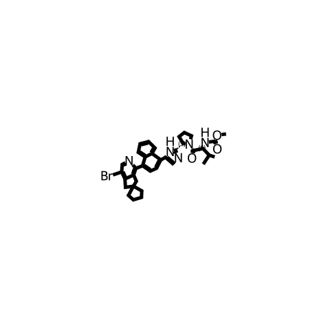 COC(=O)N[C@H](C(=O)N1CCC[C@H]1c1ncc(-c2ccc(-c3ncc(Br)c4c3CC3(CCCC3)C4)c3ccccc23)[nH]1)C(C)C